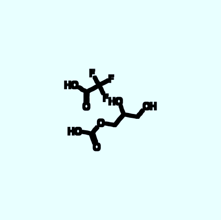 O=C(O)C(F)(F)F.O=C(O)OCC(O)CO